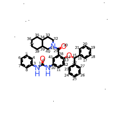 O=C(Nc1ccccc1)Nc1ccc(OC(c2ccccc2)c2ccccc2)c(C(=O)N2CCC3CCCCC3C2)c1